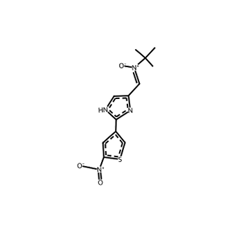 CC(C)(C)/[N+]([O-])=C/c1c[nH]c(-c2csc([N+](=O)[O-])c2)n1